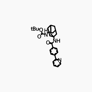 CC(C)(C)OC(=O)NC12CC3CC(C1)CC(NC(=O)c1ccc(-c4ccccn4)cc1)(C3)C2